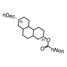 CCCCCCCCCC[C@@H]1CCC2C(CCC3C[C@H](OC(=O)CCCCCCCCC)CCC32)C1